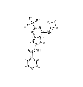 O=C(Nc1nc2cc(C(F)(F)F)cc(NC3CCC3)n2n1)c1cccnc1